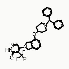 O=c1[nH]ncc(N2Cc3cccc(OC4CCN(C(c5ccccc5)c5ccccc5)CC4)c3C2)c1C(F)(F)F